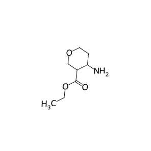 CCOC(=O)C1COCCC1N